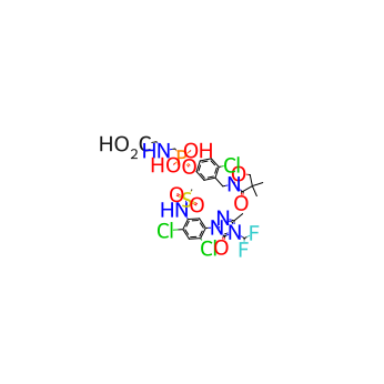 CC1(C)CON(Cc2ccccc2Cl)C1=O.Cc1nn(-c2cc(NS(C)(=O)=O)c(Cl)cc2Cl)c(=O)n1C(F)F.O=C(O)CNCP(=O)(O)O